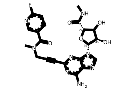 CNC(=O)[C@H]1O[C@@H](n2cnc3c(N)nc(C#CCN(C)C(=O)c4ccc(F)nc4)nc32)[C@H](O)C1O